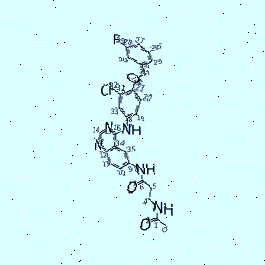 CC(=O)NCCC(=O)Nc1ccc2ncnc(Nc3ccc(OCc4cccc(F)c4)c(Cl)c3)c2c1